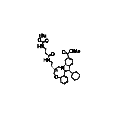 COC(=O)c1ccc2c(C3CCCCC3)c3n(c2c1)C[C@@H](CCNC(=O)CCNC(=O)OC(C)(C)C)COc1ccccc1-3